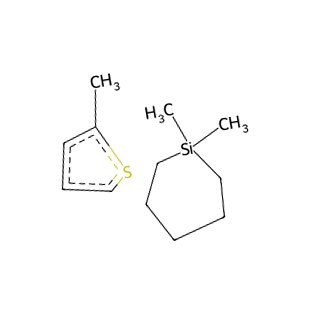 C[Si]1(C)CCCCC1.Cc1cccs1